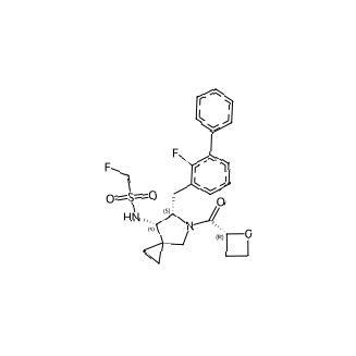 O=C([C@H]1CCO1)N1CC2(CC2)[C@H](NS(=O)(=O)CF)[C@@H]1Cc1cccc(-c2ccccc2)c1F